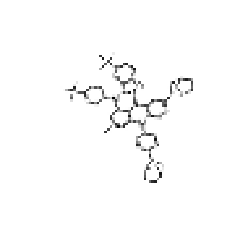 Cc1cc2c3c(c1)N(c1ccc(C(C)(C)C)cc1)c1c(oc4ccc(C(C)(C)C)cc14)B3c1cc(C3CC4CCC3C4)ccc1N2c1ccc(C2CC3CCC2C3)cc1